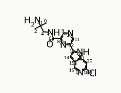 CC(C)(N)CNC(=O)c1cncc(-c2cc3cnc(Cl)cc3[nH]2)n1